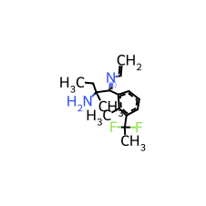 C=C/N=C(\c1cccc(C(C)(F)F)c1C)C(C)(N)CC